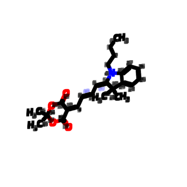 CCCCN1/C(=C/C=C/C=C2C(=O)OC(C)(C)OC2=O)C(C)(C)c2ccccc21